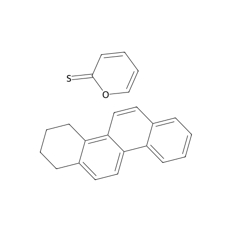 S=c1cccco1.c1ccc2c(c1)ccc1c3c(ccc12)CCCC3